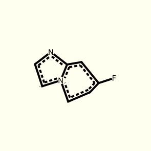 Fc1ccn2[c]cnc2c1